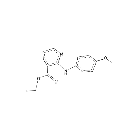 CCOC(=O)c1cccnc1Nc1ccc(OC)cc1